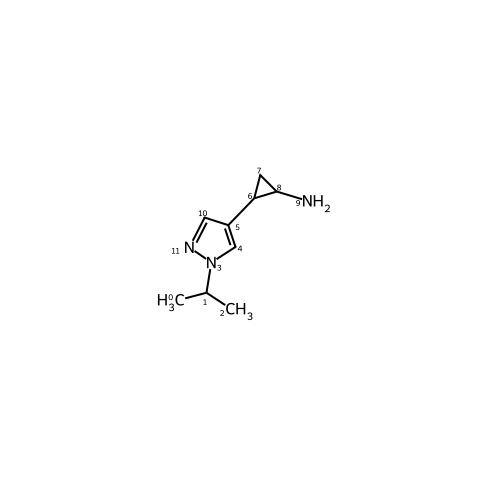 CC(C)n1cc(C2CC2N)cn1